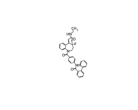 CCNC(=O)C=C1c2ccccc2N(C(=O)c2ccc(NC(=O)c3ccccc3-c3ccccc3)cc2)CCC1(F)F